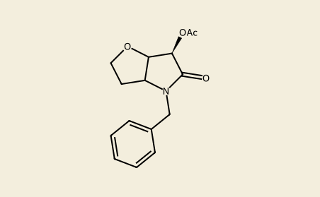 CC(=O)O[C@H]1C(=O)N(Cc2ccccc2)C2CCOC21